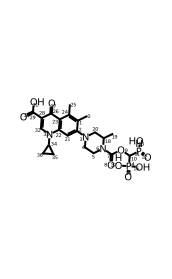 Cc1c(N2CCN(C(=O)OC([PH](=O)O)P(=O)(O)O)C(C)C2)cc2c(c1C)c(=O)c(C(=O)O)cn2C1CC1